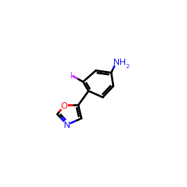 Nc1ccc(-c2cnco2)c(I)c1